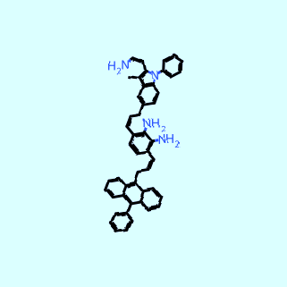 Cc1c(/C=C\N)n(-c2ccccc2)c2ccc(C/C=C\c3ccc(/C=C\CC4=c5ccccc5=C(c5ccccc5)C5C=CC=CC45)c(N)c3N)cc12